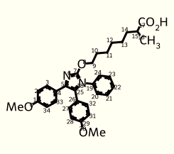 COc1ccc(-c2nc(OCCCCCCC(C)C(=O)O)n(-c3ccccc3)c2-c2ccc(OC)cc2)cc1